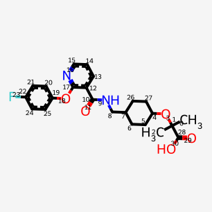 CC(C)(OC1CCC(CNC(=O)c2cccnc2Oc2ccc(F)cc2)CC1)C(=O)O